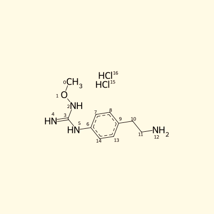 CONC(=N)Nc1ccc(CCN)cc1.Cl.Cl